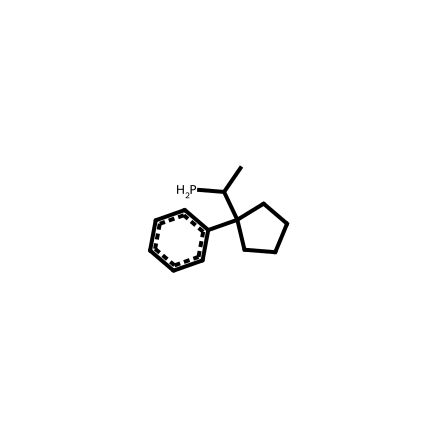 CC(P)C1(c2ccccc2)CCCC1